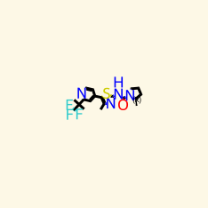 Cc1nc(NC(=O)N2CCC[C@H]2C)sc1-c1ccnc(C(C)(C)C(F)(F)F)c1